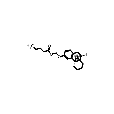 CCCCC(=O)OCOc1ccc2c(c1)[C@]13CCCC[C@@H]1[C@H](C2)NCC3